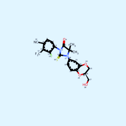 CC1(C)C(=O)N(c2ccc(C#N)c(C(F)(F)F)c2F)C(=S)N1c1ccc2c(c1)OC[C@@H](CO)O2